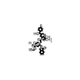 C[C@@H]1CN(CC(=O)N2CC(C)(C)c3ncc(C(O)c4ccc(F)cc4)cc32)[C@@H](CN2Cc3ccccc3C2=O)CN1C(=O)OC(C)(C)C